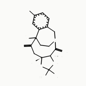 Cc1ccc2c(c1)C1(O)CCN(C2)C(=O)[C@H]2OC(C)(C)O[C@@H]2CC1=O